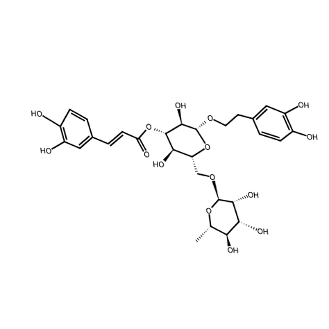 C[C@@H]1O[C@@H](OC[C@H]2O[C@@H](OCCc3ccc(O)c(O)c3)[C@H](O)[C@@H](OC(=O)/C=C/c3ccc(O)c(O)c3)[C@@H]2O)[C@H](O)[C@H](O)[C@H]1O